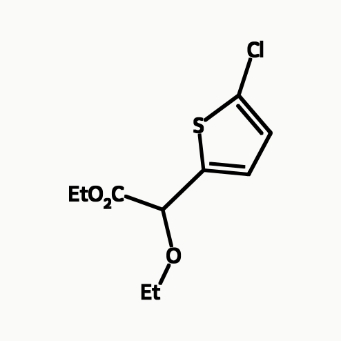 CCOC(=O)C(OCC)c1ccc(Cl)s1